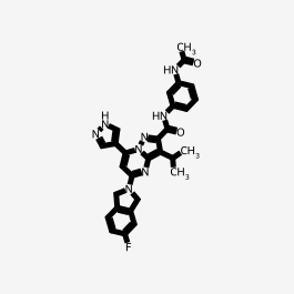 CC(=O)Nc1cccc(NC(=O)c2nn3c(-c4cn[nH]c4)cc(N4Cc5ccc(F)cc5C4)nc3c2C(C)C)c1